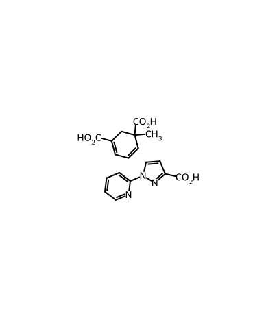 CC1(C(=O)O)C=CC=C(C(=O)O)C1.O=C(O)c1ccn(-c2ccccn2)n1